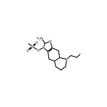 CCCN1CCCC2CC3=C(CC21)OC(N)N3OS(C)(=O)=O